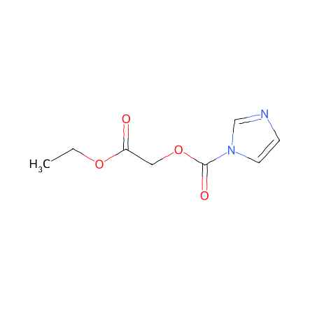 CCOC(=O)COC(=O)n1ccnc1